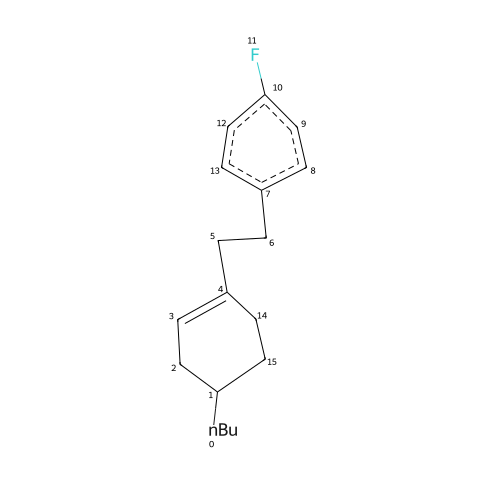 CCCCC1CC=C(CCc2ccc(F)cc2)CC1